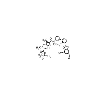 Cc1c(-c2cccc(N(Cl)C(=O)c3nc4c(n3C)CC(C)C(C(=O)OC(C)(C)C)N4)c2)cccc1-c1nc2cc(C=O)cc(C#N)c2o1